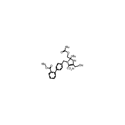 CCCCC1(COC(=O)C(C)(C)C)NC(CO)=C(C(=O)O)N1Cc1ccc(-c2ccccc2C(=O)OC(C)(C)C)cc1